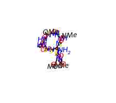 C=C1/C(=C\C=C(/N)c2nc(N(CCCCC(=O)OC)C(=O)N3CCC(C(=O)OC)CC3)cs2)c2nc(cs2)C(=O)N[C@@H](CC(=O)NC)c2nc(c(C)s2)C(=O)Nc2nc(c(COC)s2)C(=O)NCC(=O)N[C@@H]([C@@H](O)c2ccccc2)c2nc(cs2)-c2nc1cs2